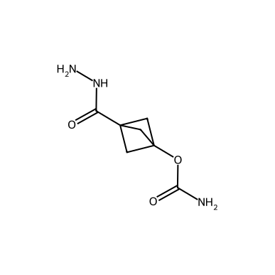 NNC(=O)C12CC(OC(N)=O)(C1)C2